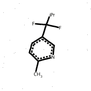 Cc1ccc(C(F)(F)C(C)C)cn1